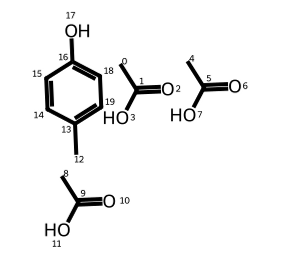 CC(=O)O.CC(=O)O.CC(=O)O.Cc1ccc(O)cc1